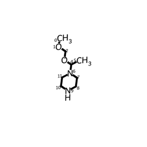 COCOC(C)N1CCNCC1